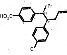 C=CC[C@@H](c1ccc(Cl)cc1)[C@H](CCC)c1ccc(C(=O)O)cc1